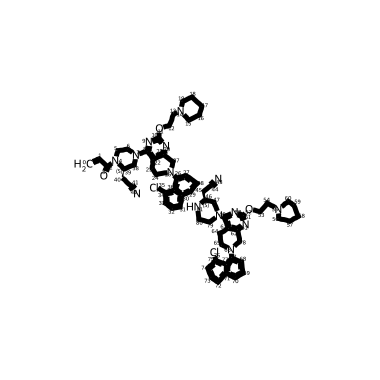 C=CC(=O)N1CCN(c2nc(OCCN3CCCCC3)nc3c2CCN(c2cccc4cccc(Cl)c24)C3)C[C@@H]1CC#N.N#CC[C@H]1CN(c2nc(OCCN3CCCCC3)nc3c2CCN(c2cccc4cccc(Cl)c24)C3)CCN1